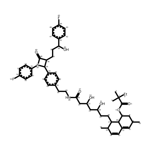 CCC(C)(C)C(=O)OC1CC(C)C=C2C=CC(C)C(CCC(O)CC(O)CC(=O)NCCc3ccc(C4C(CCC(O)c5ccc(F)cc5)C(=O)N4c4ccc(F)cc4)cc3)C21